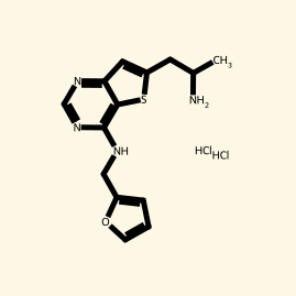 CC(N)Cc1cc2ncnc(NCc3ccco3)c2s1.Cl.Cl